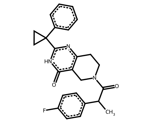 CC(C(=O)N1CCc2nc(C3(c4ccccc4)CC3)[nH]c(=O)c2C1)c1ccc(F)cc1